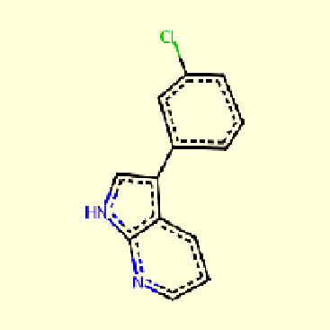 Clc1cccc(-c2c[nH]c3ncccc23)c1